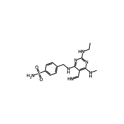 CCNc1nc(NC)c(C=N)c(NCc2ccc(S(N)(=O)=O)cc2)n1